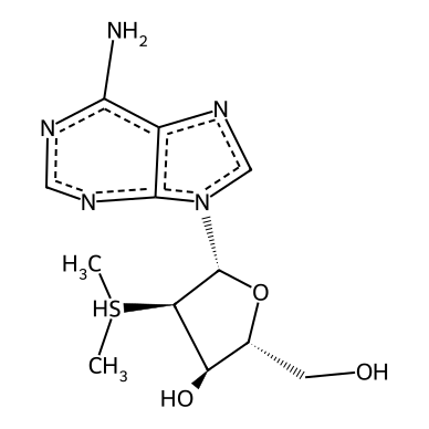 C[SH](C)[C@@H]1[C@H](O)[C@@H](CO)O[C@H]1n1cnc2c(N)ncnc21